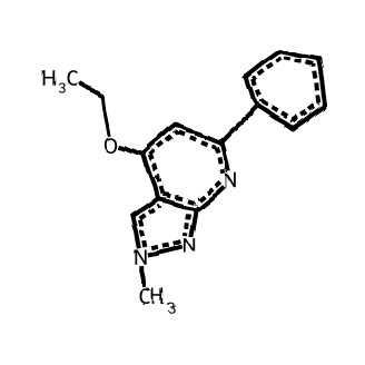 CCOc1cc(-c2ccccc2)nc2nn(C)cc12